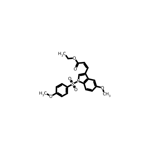 CCOC(=O)/C=C\c1cn(S(=O)(=O)c2ccc(OC)cc2)c2ccc(OC)cc12